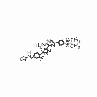 CC(C)S(=O)(=O)c1ccc(-c2cnc(N)c(-c3nnc(-c4ccc(CNC5COC5)cc4F)o3)n2)cc1